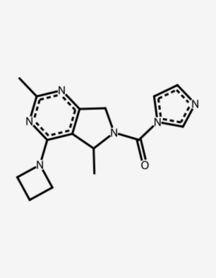 Cc1nc2c(c(N3CCC3)n1)C(C)N(C(=O)n1ccnc1)C2